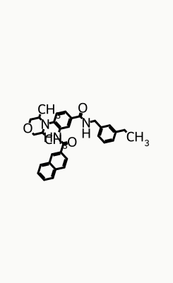 CCc1cccc(CNC(=O)c2ccc(N3C(C)COCC3C)c(NC(=O)c3ccc4ccccc4c3)c2)c1